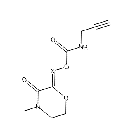 C#CCNC(=O)ON=C1OCCN(C)C1=O